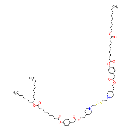 CCCCCCCCCOC(=O)CCCCCCCC(=O)Oc1ccc(CC(=O)OCCC2CCN(CCSSCCN3CCC(CCOC(=O)Cc4ccc(OC(=O)CCCCCCCC(=O)OC(CCCCCC)CCCCCCCC)cc4)CC3)CC2)cc1